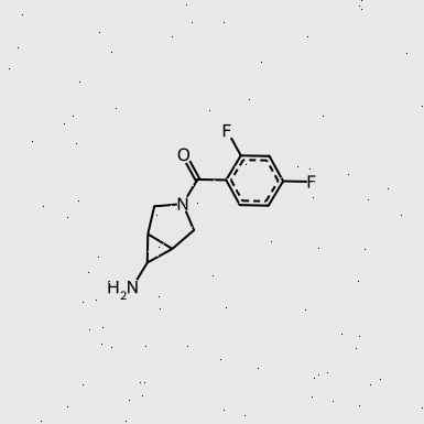 NC1C2CN(C(=O)c3ccc(F)cc3F)CC12